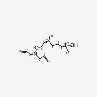 C=CCN(CC=C)OCC=C(C)CCCC(C)(C)O